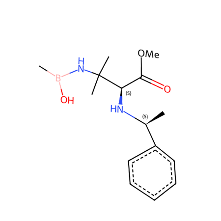 COC(=O)[C@@H](N[C@@H](C)c1ccccc1)C(C)(C)NB(C)O